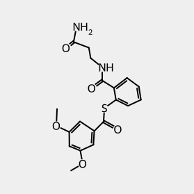 COc1cc(OC)cc(C(=O)Sc2ccccc2C(=O)NCCC(N)=O)c1